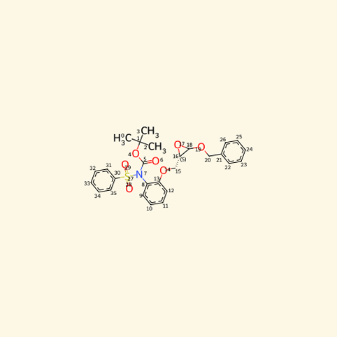 CC(C)(C)OC(=O)N(c1ccccc1OC[C@@H]1OC1OCc1ccccc1)S(=O)(=O)c1ccccc1